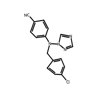 N#Cc1ccc(N(Cc2ccc(Cl)cc2)n2cncn2)cc1